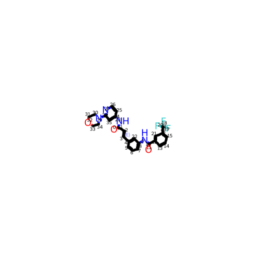 O=C(/C=C/c1cccc(NC(=O)c2cccc(C(F)(F)F)c2)c1)Nc1ccnc(N2CCOCC2)c1